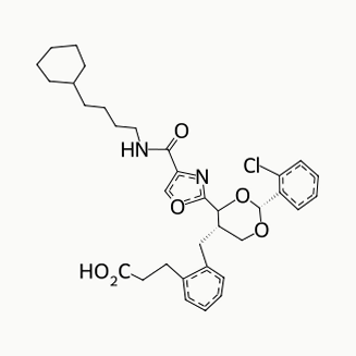 O=C(O)CCc1ccccc1C[C@H]1CO[C@@H](c2ccccc2Cl)OC1c1nc(C(=O)NCCCCC2CCCCC2)co1